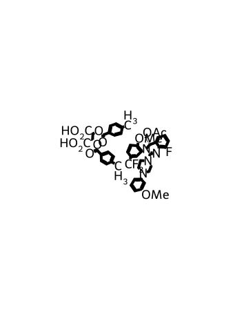 COc1cccc(N2CCN(C3=Nc4c(F)cccc4[C@@H](COC(C)=O)N3c3cc(C(F)(F)F)ccc3OC)CC2)c1.Cc1ccc(C(=O)O[C@H](C(=O)O)[C@H](OC(=O)c2ccc(C)cc2)C(=O)O)cc1